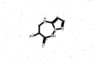 CC(C)C1CNc2ccnn2NC1=O